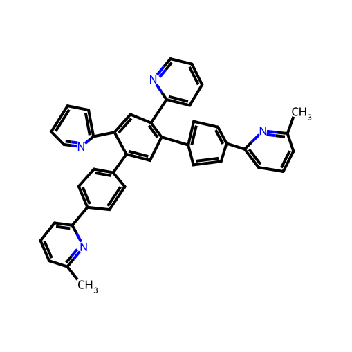 Cc1cccc(-c2ccc(-c3cc(-c4ccc(-c5cccc(C)n5)cc4)c(-c4ccccn4)cc3-c3ccccn3)cc2)n1